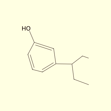 CCC(CC)c1cccc(O)c1